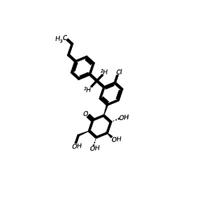 [2H]C([2H])(c1ccc(CCC)cc1)c1cc([C@@H]2C(=O)[C@H](CO)[C@@H](O)[C@H](O)[C@H]2O)ccc1Cl